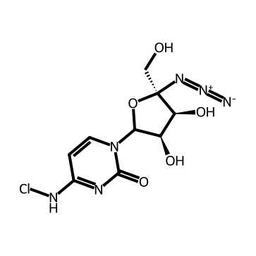 [N-]=[N+]=N[C@]1(CO)OC(n2ccc(NCl)nc2=O)[C@H](O)[C@@H]1O